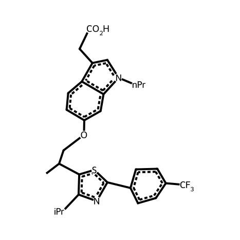 CCCn1cc(CC(=O)O)c2ccc(OCC(C)c3sc(-c4ccc(C(F)(F)F)cc4)nc3C(C)C)cc21